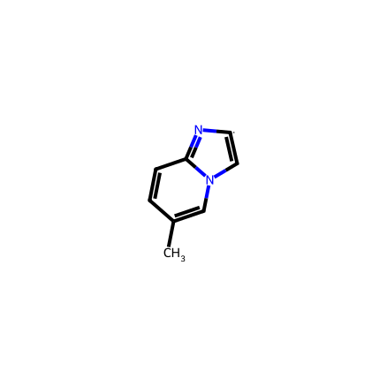 Cc1ccc2n[c]cn2c1